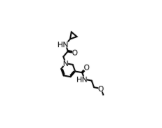 COCCNC(=O)C1=CC=CN(CC(=O)NC2CC2)C1